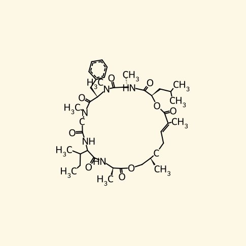 CCC(C)C1NC(=O)CN(C)C(=O)[C@@H](Cc2ccccc2)N(C)C(=O)[C@H](C)NC(=O)[C@@H](CC(C)C)OC(=O)/C(C)=C/CC[C@@H](C)COC(=O)[C@@H](C)NC1=O